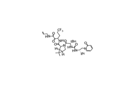 C=CCNC(=O)C(=O)C(CCC(F)(F)F)NC(=O)[C@@H]1[C@@H]2[C@H](CN1C(=O)[C@@H](NC(=O)N[C@H](Cn1ccccc1=O)C(C)C)C(C)(C)C)C2(C)C